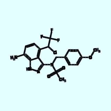 COc1ccc(CN(c2n[nH]c3c(N)ccc(C(Cl)C(F)(F)F)c23)S(C)(=O)=O)cc1